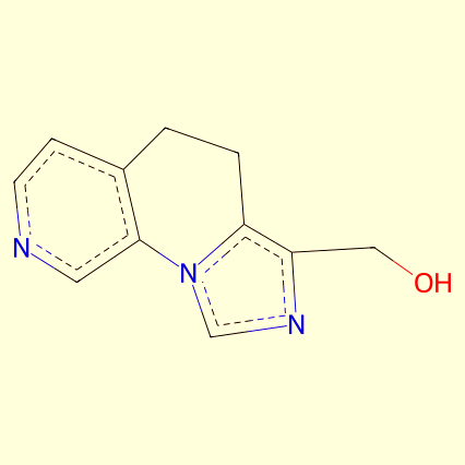 OCc1ncn2c1CCc1ccncc1-2